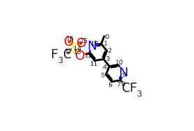 Cc1cc(-c2ccc(C(F)(F)F)nc2)cc(OS(=O)(=O)C(F)(F)F)n1